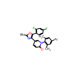 [CH2]C([CH2])(C)c1nc(-c2ccc(=O)n(-c3c(C)cc(C(C)=O)cc3C)c2)c(-c2ccc(F)cc2F)o1